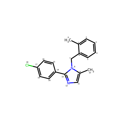 Cc1ccccc1Cn1c(C)cnc1-c1ccc(Cl)cc1